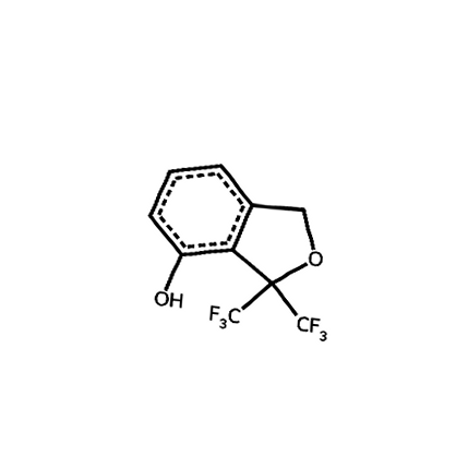 Oc1cccc2c1C(C(F)(F)F)(C(F)(F)F)OC2